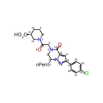 CCCCCC1CN(CC(=O)N2CCC[C@H](C(=O)O)C2)C(=O)c2cc(-c3ccc(Cl)cc3)nn21